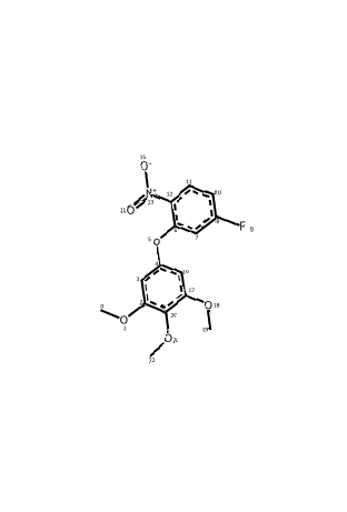 COc1cc(Oc2cc(F)ccc2[N+](=O)[O-])cc(OC)c1OC